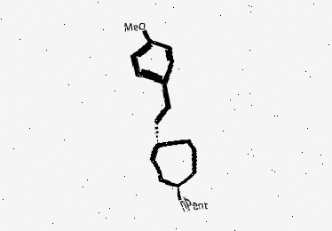 CCCCC[C@H]1CC[C@H](CCc2ccc(OC)cc2)CC1